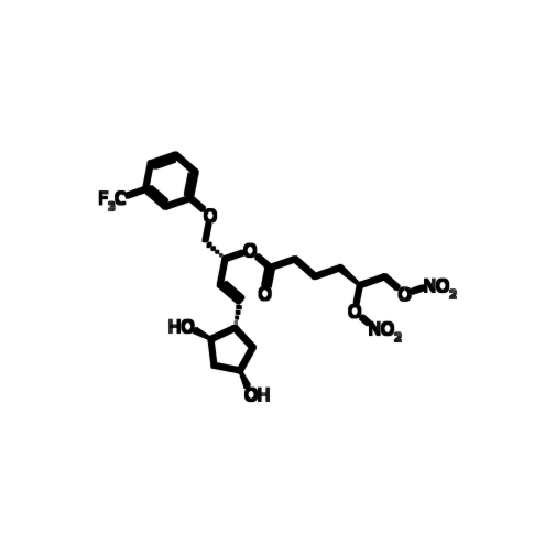 O=C(CCC[C@@H](CO[N+](=O)[O-])O[N+](=O)[O-])O[C@H](/C=C/[C@@H]1C[C@@H](O)C[C@H]1O)COc1cccc(C(F)(F)F)c1